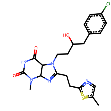 Cc1cnc(CCC2=NC3C(C(=O)NC(=O)N3C)N2CCC(O)Cc2ccc(Cl)cc2)s1